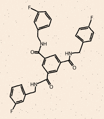 O=C(NCc1ccc(F)cc1)c1cc(C(=O)NCc2cccc(F)c2)cc(C(=O)NCc2cccc(F)c2)c1